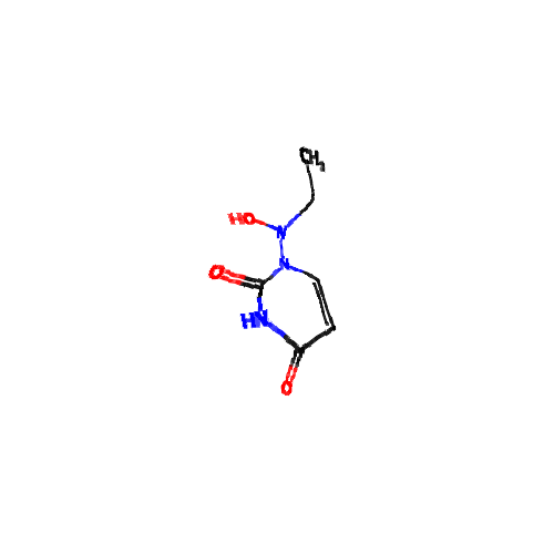 CCN(O)n1ccc(=O)[nH]c1=O